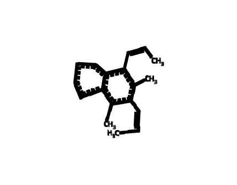 C/C=C\c1c(C)c(/C=C\C)c2ccccc2c1C